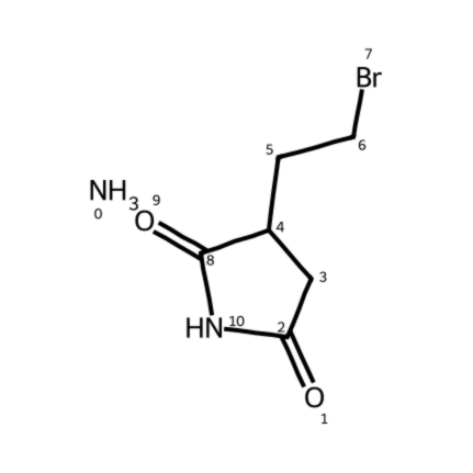 N.O=C1CC(CCBr)C(=O)N1